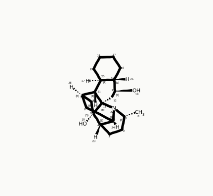 C[C@@H]1CC[C@H]2[C@@H]3C[C@@H]4C[C@@]2(O)[C@]2(C[C@H](O)[C@H]5CCCC[C@@H]5[C@@H]42)N13